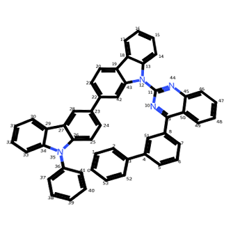 c1ccc(-c2cccc(-c3nc(-n4c5ccccc5c5ccc(-c6ccc7c(c6)c6ccccc6n7-c6ccccc6)cc54)nc4ccccc34)c2)cc1